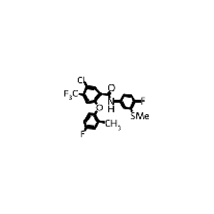 CSc1cc(NC(=O)c2cc(Cl)c(C(F)(F)F)cc2Oc2ccc(F)cc2C)ccc1F